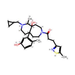 Cc1cc(CCC(=O)N2CCC3(c4cc(O)ccc4C)CCN(CC4CC4)C(C)C3(O)CC2)ns1